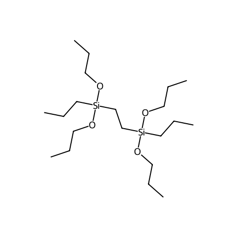 CCCO[Si](CCC)(CC[Si](CCC)(OCCC)OCCC)OCCC